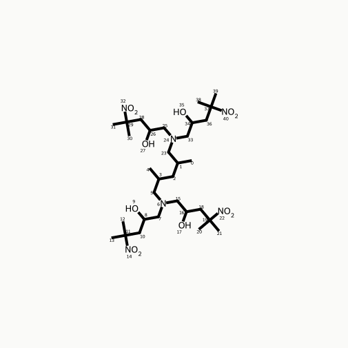 CC(CC(C)CN(CC(O)CC(C)(C)[N+](=O)[O-])CC(O)CC(C)(C)[N+](=O)[O-])CN(CC(O)CC(C)(C)[N+](=O)[O-])CC(O)CC(C)(C)[N+](=O)[O-]